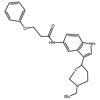 CC(C)(C)CN1CCC(c2c[nH]c3ccc(NC(=O)CCOc4ccccc4)cc23)CC1